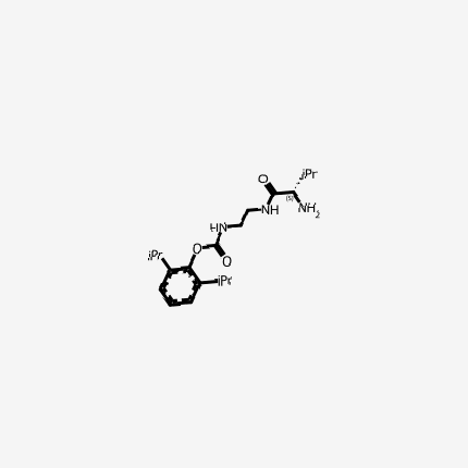 CC(C)c1cccc(C(C)C)c1OC(=O)NCCNC(=O)[C@@H](N)C(C)C